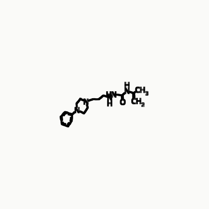 C=C(C)NC(=O)NNCCCN1CCN(c2ccccc2)CC1